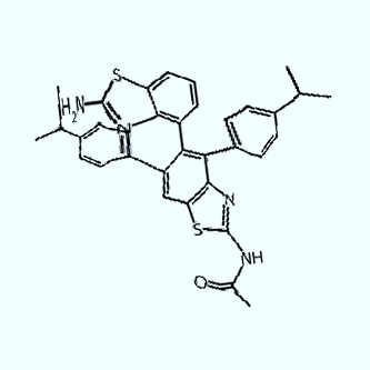 CC(=O)Nc1nc2c(-c3ccc(C(C)C)cc3)c(-c3cccc4sc(N)nc34)c(-c3ccc(C(C)C)cc3)cc2s1